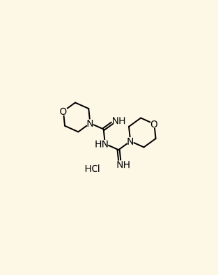 Cl.N=C(NC(=N)N1CCOCC1)N1CCOCC1